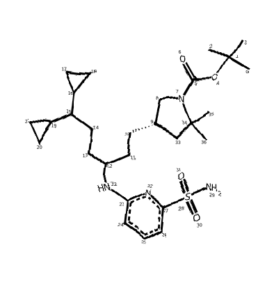 CC(C)(C)OC(=O)N1C[C@@H](CCC(CCC(C2CC2)C2CC2)Nc2cccc(S(N)(=O)=O)n2)CC1(C)C